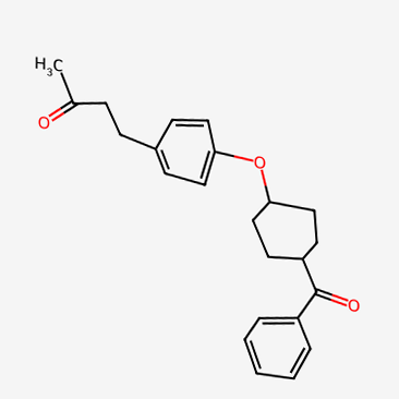 CC(=O)CCc1ccc(OC2CCC(C(=O)c3ccccc3)CC2)cc1